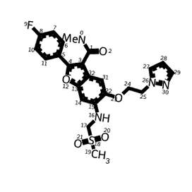 CNC(=O)c1c(-c2ccc(F)cc2)oc2cc(NCS(C)(=O)=O)c(OCCn3cccn3)cc12